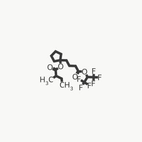 CCC(C)C(=O)OC1(CCCC(=O)OC(C(F)(F)F)C(F)(F)F)CCCC1